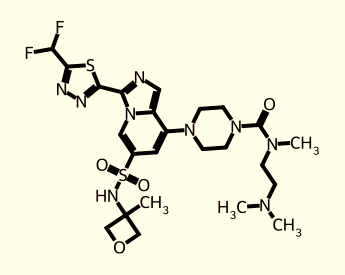 CN(C)CCN(C)C(=O)N1CCN(c2cc(S(=O)(=O)NC3(C)COC3)cn3c(-c4nnc(C(F)F)s4)ncc23)CC1